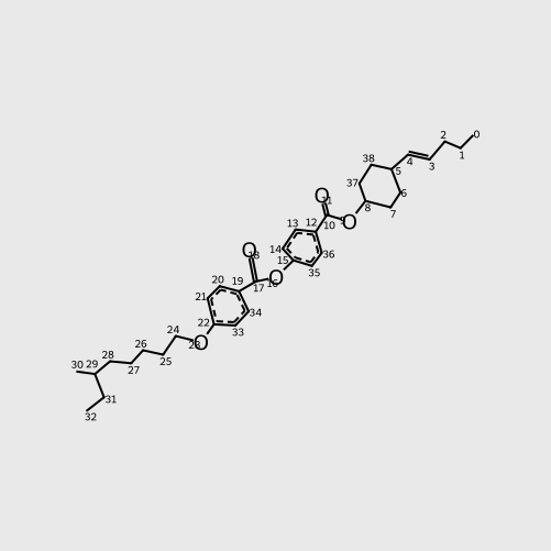 CCCC=CC1CCC(OC(=O)c2ccc(OC(=O)c3ccc(OCCCCCC(C)CC)cc3)cc2)CC1